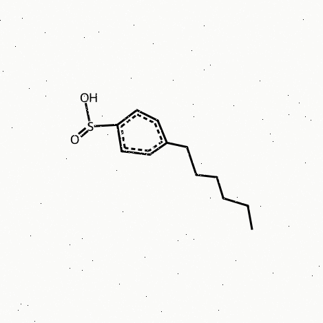 CCCCCCc1ccc(S(=O)O)cc1